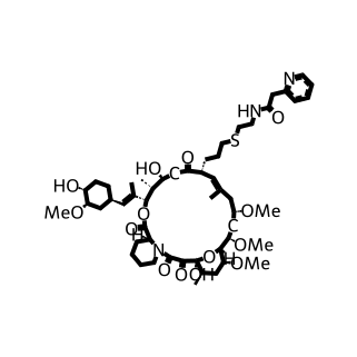 CO[C@H]1C/C(C)=C/[C@@H](CCCSCCNC(=O)Cc2ccccn2)C(=O)C[C@H](O)[C@@H](C)[C@@H](/C(C)=C/[C@@H]2CC[C@@H](O)[C@H](OC)C2)OC(=O)[C@@H]2CCCCN2C(=O)C(=O)[C@]2(O)O[C@H]([C@@H](OC)C1)[C@@H](OC)C[C@H]2C